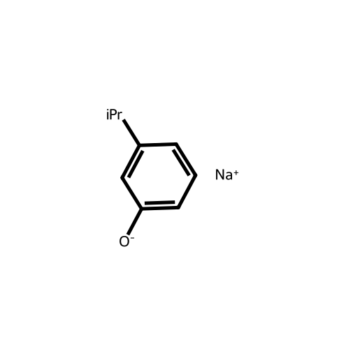 CC(C)c1cccc([O-])c1.[Na+]